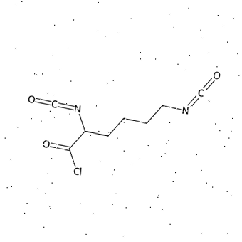 O=C=NCCCCC(N=C=O)C(=O)Cl